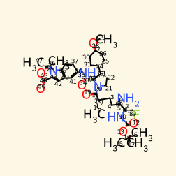 CC[C@H](CC[C@@H](N)[C@@H](CF)NC(=O)OC(C)(C)C)C(=O)N1CC[C@@H]([C@H]2CC[C@H](OC)CC2)[C@H]1C(=O)Nc1ccc2c(c1)cc1n2C(C)(C)OC1=O